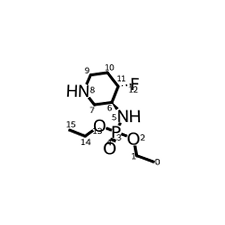 CCOP(=O)(N[C@H]1CNCC[C@@H]1F)OCC